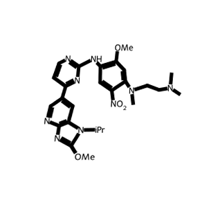 COc1cc(N(C)CCN(C)C)c([N+](=O)[O-])cc1Nc1nccc(-c2cnc3nc(OC)n(C(C)C)c3c2)n1